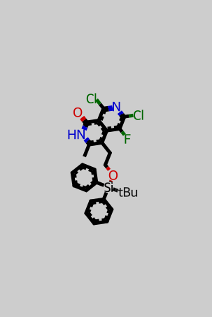 Cc1[nH]c(=O)c2c(Cl)nc(Cl)c(F)c2c1CCO[Si](c1ccccc1)(c1ccccc1)C(C)(C)C